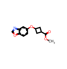 COC(=O)C1CC(Oc2ccc3ocnc3c2)C1